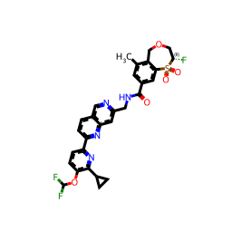 Cc1cc(C(=O)NCc2cc3nc(-c4ccc(OC(F)F)c(C5CC5)n4)ccc3cn2)cc2c1COC[C@H](F)S2(=O)=O